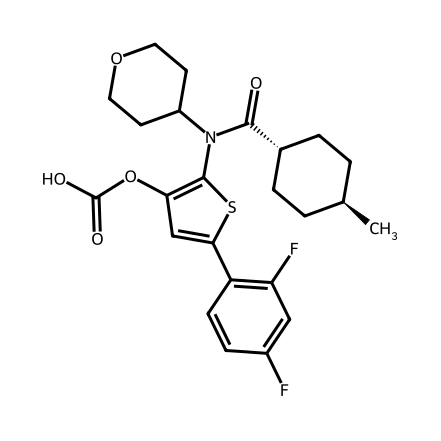 C[C@H]1CC[C@H](C(=O)N(c2sc(-c3ccc(F)cc3F)cc2OC(=O)O)C2CCOCC2)CC1